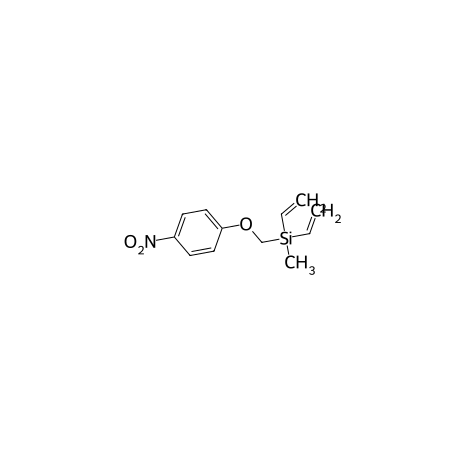 C=C[Si](C)(C=C)COc1ccc([N+](=O)[O-])cc1